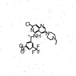 CCN1CCN(c2cnc3cc(Cl)nc(N[C@H](C)c4cc([N+](=O)[O-])cc(C(F)(F)F)c4)c3c2)CC1